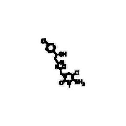 CN1C(=O)N(Cc2nc(C[C@H](O)c3ccc(Cl)cc3)no2)CC(Cl)=C1N